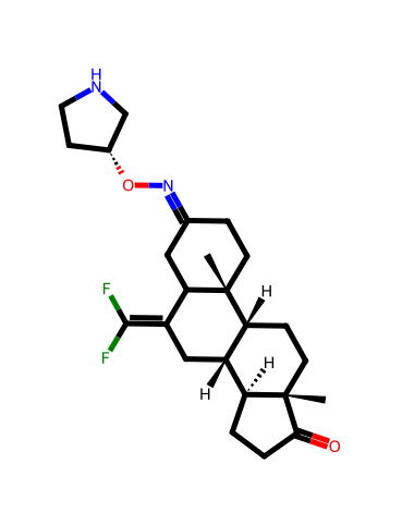 C[C@]12CC/C(=N/O[C@@H]3CCNC3)CC1C(=C(F)F)C[C@@H]1[C@H]2CC[C@]2(C)C(=O)CC[C@@H]12